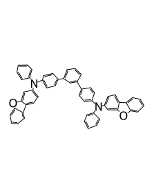 c1ccc(N(c2ccc(-c3cccc(-c4ccc(N(c5ccccc5)c5ccc6c(c5)oc5ccccc56)cc4)c3)cc2)c2ccc3c(c2)oc2ccccc23)cc1